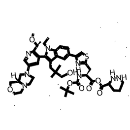 CCn1c(-c2cc(N3CCN4CCOC[C@@H]4C3)cnc2[C@H](C)OC)c(CC(C)(C)CO)c2cc(-c3csc(C[C@H](NC(=O)OC(C)(C)C)C(=O)OC(=O)C4CCCNN4)n3)ccc21